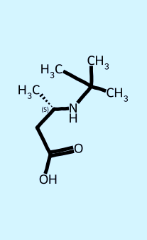 C[C@@H](CC(=O)O)NC(C)(C)C